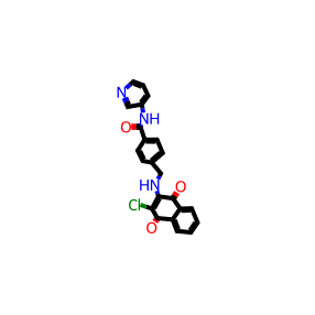 O=C(Nc1cccnc1)c1ccc(CNC2=C(Cl)C(=O)c3ccccc3C2=O)cc1